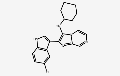 Clc1ccc2[nH]cc(-c3nc4cnccn4c3NC3CCCCC3)c2c1